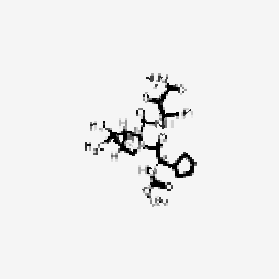 CCCC(NC(=O)[C@@H]1[C@@H]2[C@H](CN1C(=O)[C@@H](NC(=O)OC(C)(C)C)C1CCCC1)C2(C)C)C(=O)C(N)=O